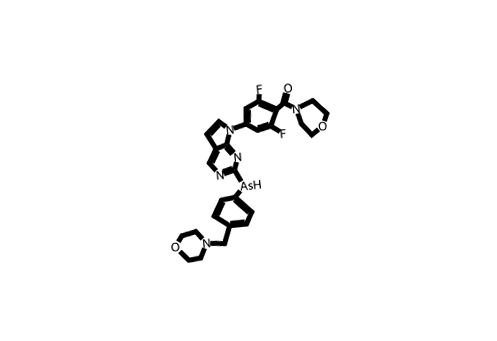 O=C(c1c(F)cc(-n2ccc3cnc([AsH]c4ccc(CN5CCOCC5)cc4)nc32)cc1F)N1CCOCC1